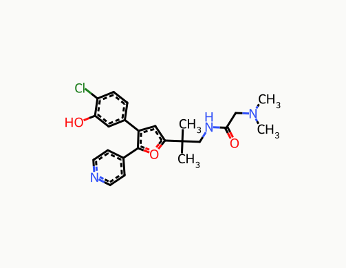 CN(C)CC(=O)NCC(C)(C)c1cc(-c2ccc(Cl)c(O)c2)c(-c2ccncc2)o1